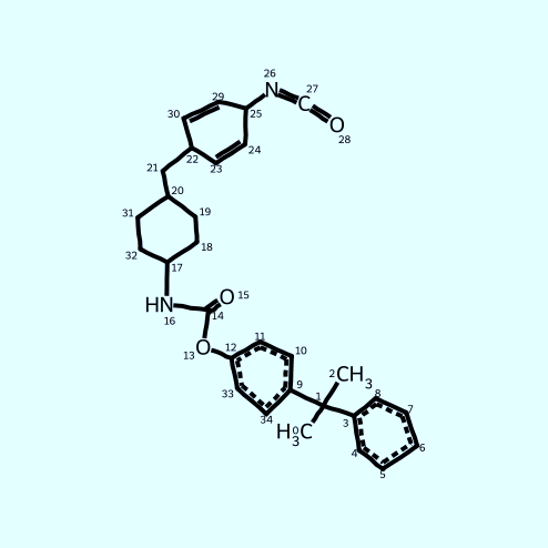 CC(C)(c1ccccc1)c1ccc(OC(=O)NC2CCC(CC3C=CC(N=C=O)C=C3)CC2)cc1